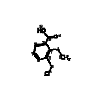 CCc1c(CCl)cccc1C(=O)O